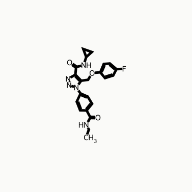 CCNC(=O)c1ccc(-n2nnc(C(=O)NC3CC3)c2COc2ccc(F)cc2)cc1